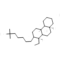 C[C@H](CCCC(C)(C)O)[C@H]1CC[C@H]2[C@@H]3CC[C@H]4C[C@@H](O)CC[C@]4(C)[C@H]3CC[C@]12C